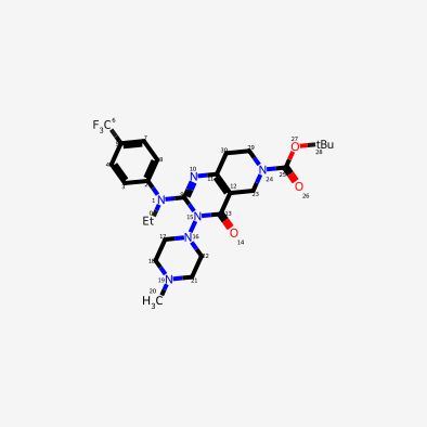 CCN(c1ccc(C(F)(F)F)cc1)c1nc2c(c(=O)n1N1CCN(C)CC1)CN(C(=O)OC(C)(C)C)CC2